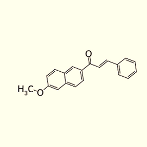 COc1ccc2cc(C(=O)/C=C/c3ccccc3)ccc2c1